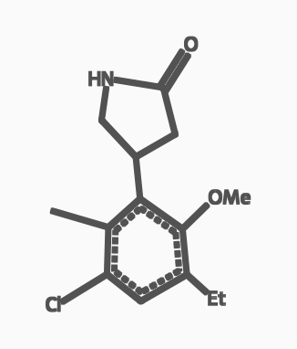 [CH2]Cc1cc(Cl)c(C)c(C2CNC(=O)C2)c1OC